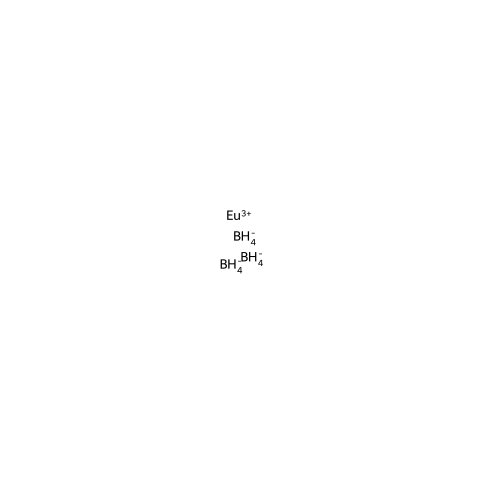 [BH4-].[BH4-].[BH4-].[Eu+3]